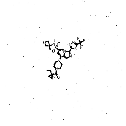 CCC1(C(=O)N2CCN(c3cc(S(=O)(=O)NC4(C)COC4)cn4c(-c5nnc(C(F)(F)F)s5)ncc34)CC2)CC1